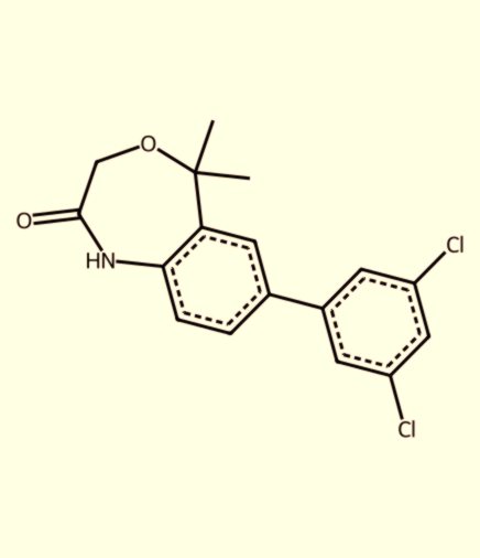 CC1(C)OCC(=O)Nc2ccc(-c3cc(Cl)cc(Cl)c3)cc21